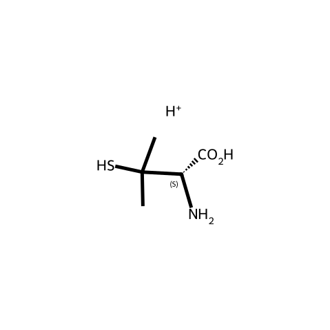 CC(C)(S)[C@@H](N)C(=O)O.[H+]